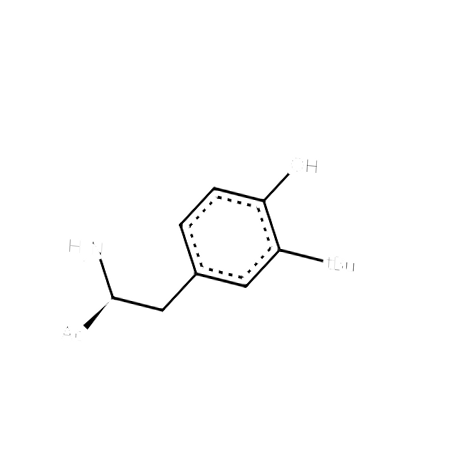 CC(=O)[C@@H](N)Cc1ccc(O)c(C(C)(C)C)c1